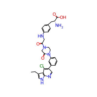 CCc1c[nH]c2ncc(-c3cccc(N4CCN(C(=O)CNc5ccc(C[C@@H](N)C(=O)O)cc5)CC4=O)c3)c(Cl)c12